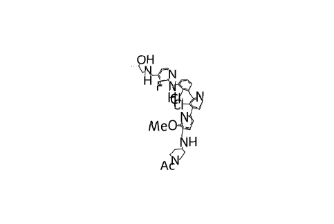 COc1nc(-c2ccnc(-c3cccc(Nc4nccc(CNC[C@H](C)O)c4F)c3Cl)c2Cl)ccc1CNC1CCN(C(C)=O)CC1